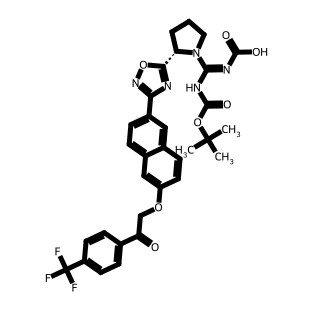 CC(C)(C)OC(=O)N/C(=N/C(=O)O)N1CCC[C@H]1c1nc(-c2ccc3cc(OCC(=O)c4ccc(C(F)(F)F)cc4)ccc3c2)no1